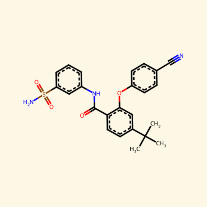 CC(C)(C)c1ccc(C(=O)Nc2cccc(S(N)(=O)=O)c2)c(Oc2ccc(C#N)cc2)c1